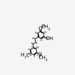 COc1cc(C)cc(CCCc2cc(O)cc(OC)c2)c1